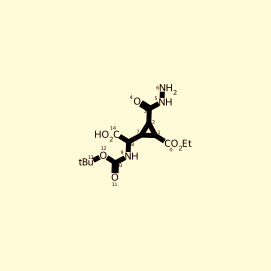 CCOC(=O)C1C(C(=O)NN)C1C(NC(=O)OC(C)(C)C)C(=O)O